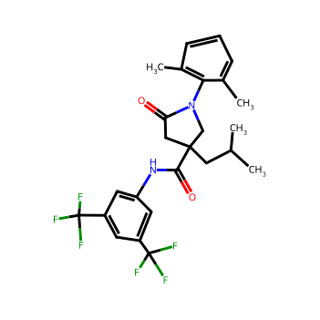 Cc1cccc(C)c1N1CC(CC(C)C)(C(=O)Nc2cc(C(F)(F)F)cc(C(F)(F)F)c2)CC1=O